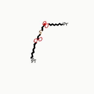 CC(C)CCCCCCCCOC(=O)CCSCCC(=O)OCCCCCCCCC(C)C